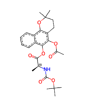 CC(=O)Oc1c2c(c3ccccc3c1OC(=O)[C@H](C)NC(=O)OC(C)(C)C)OC(C)(C)CC2